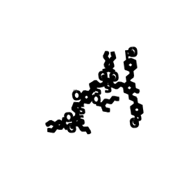 C/C=C/c1sc(-c2ccc(-c3cc(OCC(CC)CCCC)c(-c4ccc(-c5sc(/C=C/c6cc(/C=C/c7ccc(P=O)cc7)c(C)cc6/C=C/c6ccc(P=O)cc6)c6c5OCC(CCCC)(CCCC)CO6)s4)cc3OC)s2)c2c1OCC(CCCC)(CCCC)CO2